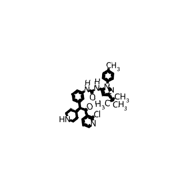 Cc1ccc(-n2nc(C(C)(C)C)cc2NC(=O)Nc2cccc(C(C(=O)c3cccnc3Cl)C3CCNCC3)c2)cc1